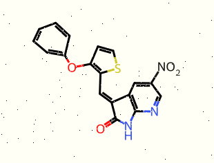 O=C1Nc2ncc([N+](=O)[O-])cc2C1=Cc1sccc1Oc1ccccc1